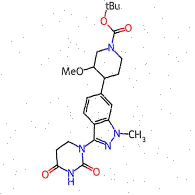 COC1CN(C(=O)OC(C)(C)C)CCC1c1ccc2c(N3CCC(=O)NC3=O)nn(C)c2c1